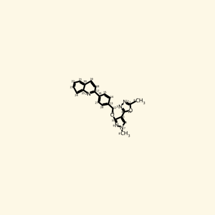 Cc1nnc(-c2cn(C)nc2OCc2ccc(-c3ccc4ccccc4n3)cc2)o1